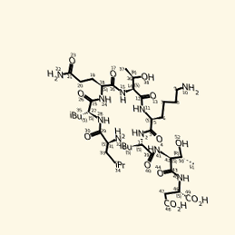 CC[C@H](C)[C@H](NC(=O)[C@H](CCCCN)NC(=O)[C@@H](NC(=O)[C@H](CCC(N)=O)NC(=O)[C@@H](NC(=O)[C@@H](N)CC(C)C)[C@@H](C)CC)[C@@H](C)O)C(=O)N[C@H](C(=O)N[C@@H](CC(=O)O)C(=O)O)[C@@H](C)O